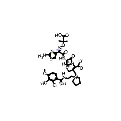 COc1ccc(C(=N)NCC[N+]2(CC3=C(C(=O)[O-])N4C(=O)[C@@H](NC(=O)/C(=N\OC(C)(C)C(=O)O)c5csc(N)n5)[C@H]4SC3)CCCC2)c(Cl)c1O